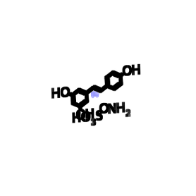 NOS(=O)(=O)O.Oc1ccc(/C=C/c2cc(O)cc(O)c2)cc1